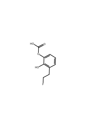 O=C(O)Oc1cccc(CCF)c1O